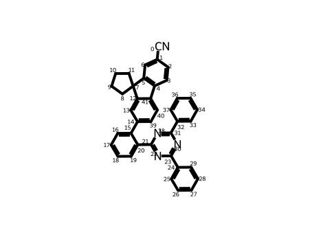 N#Cc1ccc2c(c1)C1(CCCC1)c1cc(-c3ccccc3-c3nc(-c4ccccc4)nc(-c4ccccc4)n3)ccc1-2